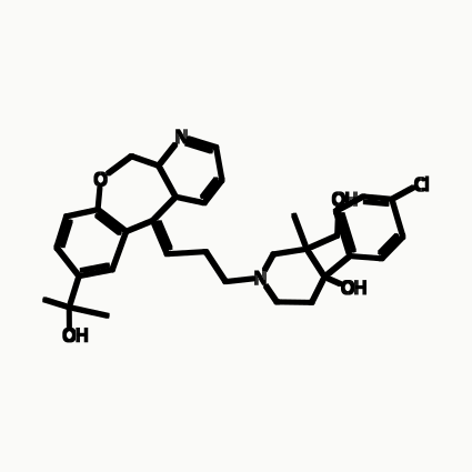 CC(C)(O)c1ccc2c(c1)/C(=C/CCN1CCC(O)(c3ccc(Cl)cc3)C(C)(CO)C1)C1C=CC=NC1CO2